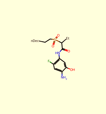 CCCCCCCCCCCCS(=O)(=O)C(CC)C(=O)Nc1cc(O)c(N)cc1F